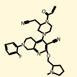 C=CC(=O)N1CCN(c2c(C#N)c(OCC3CCCN3C)nc3c2CCN(c2ccccc2F)C3)CC1CC#N